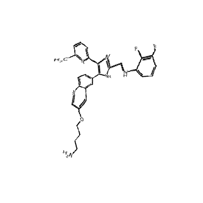 Cc1cccc(-c2nc(CNc3cccc(F)c3F)[nH]c2-c2ccc3ncc(OCCCCN)cc3c2)n1